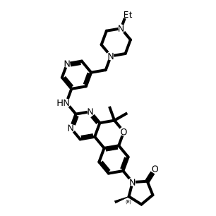 CCN1CCN(Cc2cncc(Nc3ncc4c(n3)C(C)(C)Oc3cc(N5C(=O)CC[C@H]5C)ccc3-4)c2)CC1